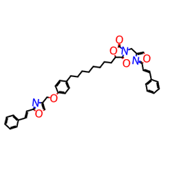 O=C1OC(CCCCCCCCc2ccc(OCc3coc(/C=C/c4ccccc4)n3)cc2)C(=O)N1Cc1coc(/C=C/c2ccccc2)n1